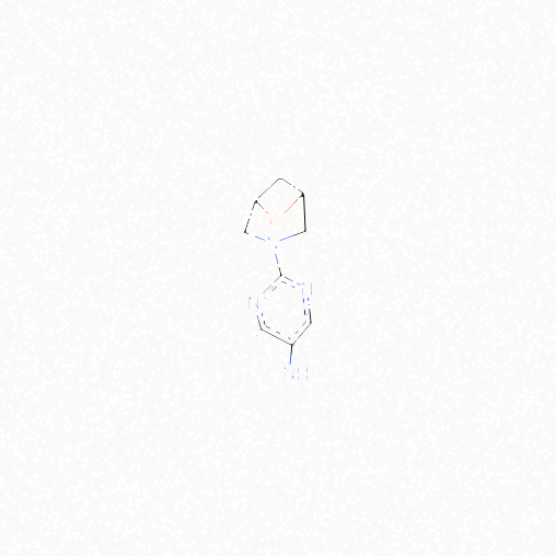 Nc1cnc(N2CC3CC(C2)O3)nc1